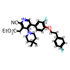 CCOC(=O)Cc1c(C#N)ncc(-c2ccc(OCCc3ccc(F)cc3)c(F)c2)c1N1CCC(C)(C)CC1